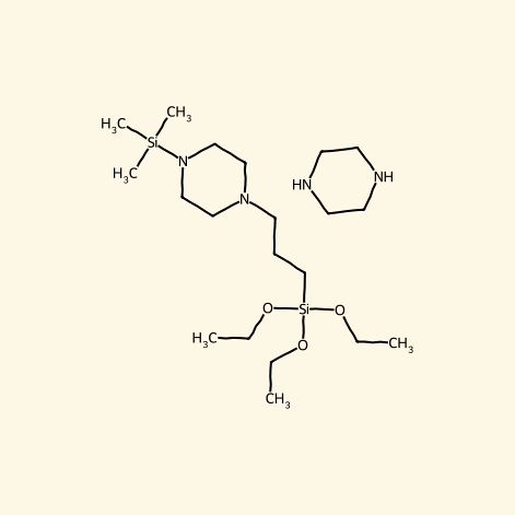 C1CNCCN1.CCO[Si](CCCN1CCN([Si](C)(C)C)CC1)(OCC)OCC